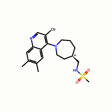 Cc1cc2ncc(C#N)c(N3CCC[C@@H](CNS(C)(=O)=O)CC3)c2cc1C